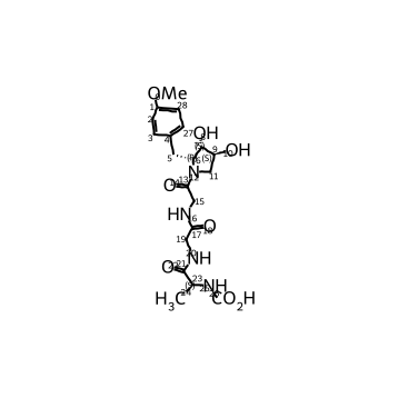 COc1ccc(C[C@@H]2[C@H](O)[C@@H](O)CN2C(=O)CNC(=O)CNC(=O)[C@H](C)NC(=O)O)cc1